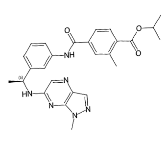 Cc1cc(C(=O)Nc2cccc([C@H](C)Nc3cnc4cnn(C)c4n3)c2)ccc1C(=O)OC(C)C